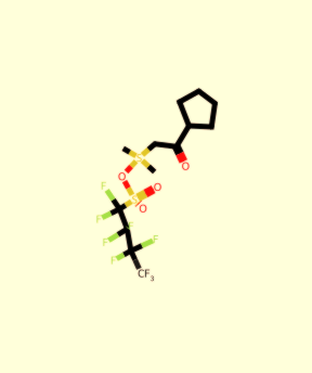 CS(C)(CC(=O)C1CCCC1)OS(=O)(=O)C(F)(F)C(F)(F)C(F)(F)C(F)(F)F